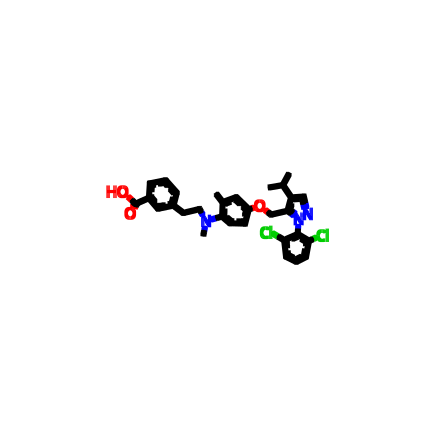 Cc1cc(OCc2c(C(C)C)cnn2-c2c(Cl)cccc2Cl)ccc1N(C)CCc1cccc(C(=O)O)c1